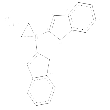 C1=[C]([Ti+2]2([C]3=Cc4ccccc4C3)[CH2][CH2]2)Cc2ccccc21.[Cl-].[Cl-]